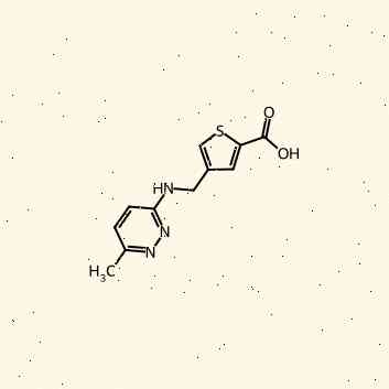 Cc1ccc(NCc2csc(C(=O)O)c2)nn1